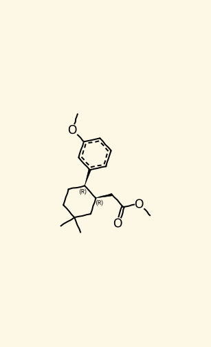 COC(=O)C[C@H]1CC(C)(C)CC[C@H]1c1cccc(OC)c1